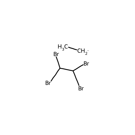 BrC(Br)C(Br)Br.[CH2]C